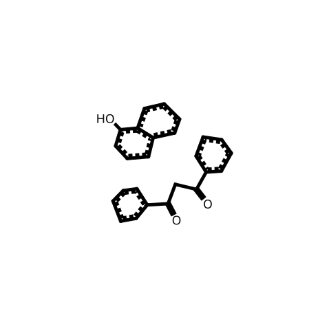 O=C(CC(=O)c1ccccc1)c1ccccc1.Oc1cccc2ccccc12